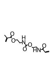 C=CC(=O)NCCOC(=O)NCCOC(=O)C(=C)C